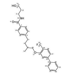 CC(CCc1ccc(C(=O)NCCC(=O)O)cc1)COc1cc(-c2ccccc2)ccc1C(F)(F)F